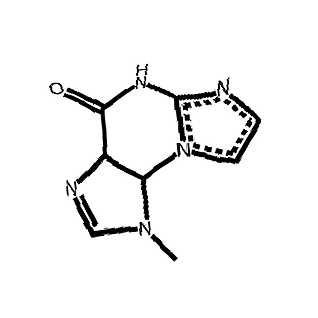 CN1C=NC2C(=O)Nc3nccn3C21